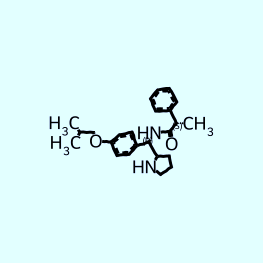 CC(C)COc1ccc([C@@H](NC(=O)[C@@H](C)c2ccccc2)C2CCCN2)cc1